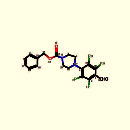 O=Cc1c(F)c(F)c(N2CCN(C(=O)OCc3ccccc3)CC2)c(F)c1F